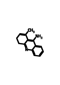 CC1=CCCc2nc3ccccc3c(N)c21